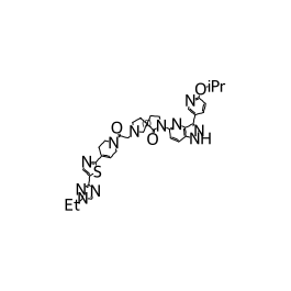 CCn1cnc(-c2cnc(C3=CCN(C(=O)CN4CC[C@]5(CCN(c6ccc7[nH]nc(-c8ccc(OC(C)C)nc8)c7n6)C5=O)C4)CC3)s2)n1